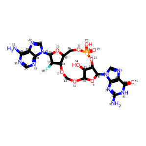 Nc1nc2c(ncn2C2OC3OCOC4C(COP(=O)(O)OC2C3O)OC(n2cnc3c(N)ncnc32)C4F)c(=O)[nH]1